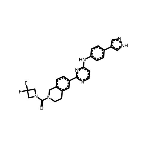 O=C(N1CCc2cc(-c3nccc(Nc4ccc(-c5cn[nH]c5)cc4)n3)ccc2C1)N1CC(F)(F)C1